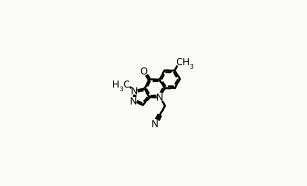 Cc1ccc2c(c1)c(=O)c1c(cnn1C)n2CC#N